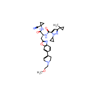 COCCN1CC=C(c2ccc3nc(C[C@H](NC(=O)c4cc(C5(C)CC5)nn4C4CC4)C(=O)NC4(C#N)CC4)oc3c2)CC1